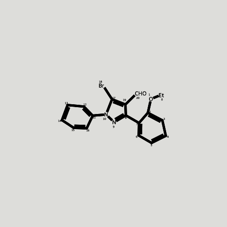 CCOc1ccccc1-c1nn(-c2ccccc2)c(Br)c1C=O